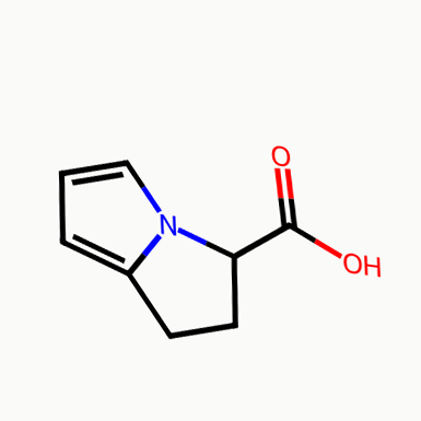 O=C(O)C1CCc2cccn21